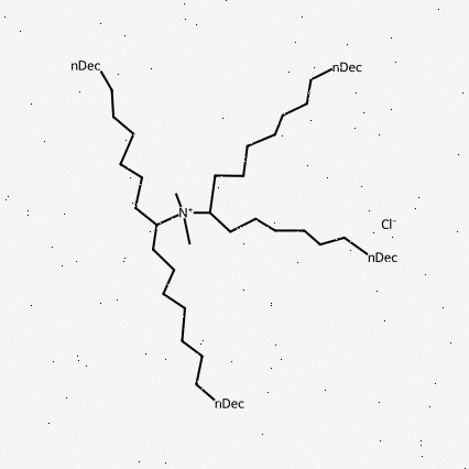 CCCCCCCCCCCCCCCCCC(CCCCCCCCCCCCCCCC)[N+](C)(C)C(CCCCCCCCCCCCCCCC)CCCCCCCCCCCCCCCCC.[Cl-]